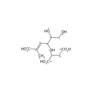 CC(=CC(O)C(O)CO)C(=O)O.O=C(O)CCC(=O)O